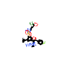 O=C(Cl)CCCNS(=O)(=O)Cc1cc2oc(-c3ccc(F)cc3)c(-c3ncc[nH]3)c2cc1C1CC1